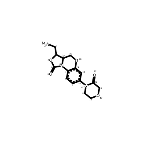 NCC1OC(=O)N2c3ccc(N4CCOCC4=O)cc3OCC12